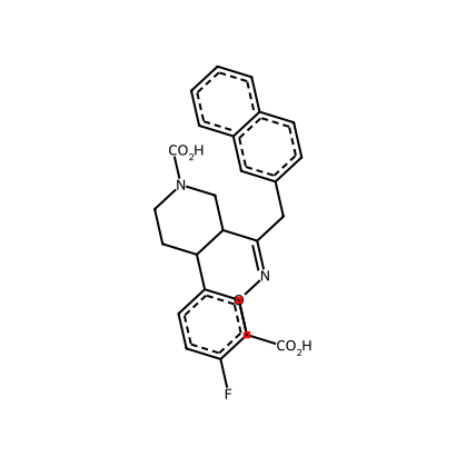 O=C(O)CO/N=C(/Cc1ccc2ccccc2c1)C1CN(C(=O)O)CCC1c1ccc(F)cc1